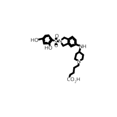 O=C(O)CCCCN1CCC(Nc2ccc3c(c2)CN(S(=O)(=O)c2ccc(O)cc2O)C3)CC1